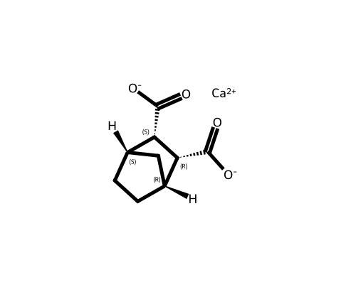 O=C([O-])[C@@H]1[C@@H]2CC[C@@H](C2)[C@@H]1C(=O)[O-].[Ca+2]